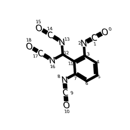 O=C=Nc1cccc(N=C=O)c1C(N=C=O)N=C=O